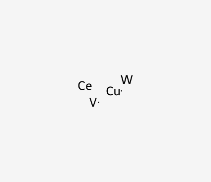 [Ce].[Cu].[V].[W]